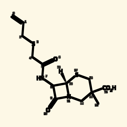 C=CCSCC(=O)NC1C(=O)N2CC(C)(C(=O)O)CS[C@H]12